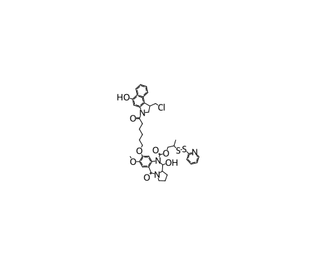 COc1cc2c(cc1OCCCCCC(=O)N1CC(CCl)c3c1cc(O)c1ccccc31)N(C(=O)OCC(C)SSc1ccccn1)C(O)C1CCCN1C2=O